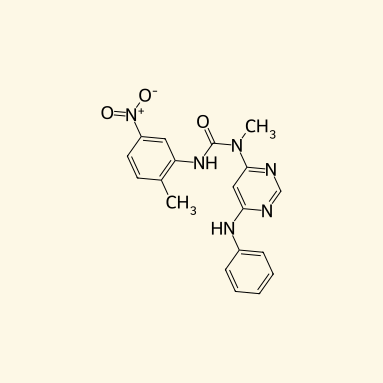 Cc1ccc([N+](=O)[O-])cc1NC(=O)N(C)c1cc(Nc2ccccc2)ncn1